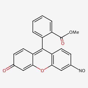 COC(=O)c1ccccc1-c1c2ccc(=O)cc-2oc2cc(N=O)ccc12